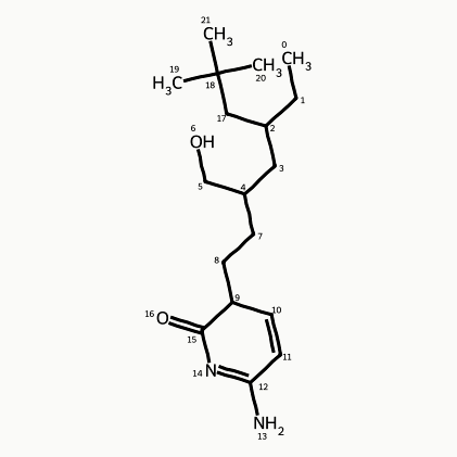 CCC(CC(CO)CCC1C=CC(N)=NC1=O)CC(C)(C)C